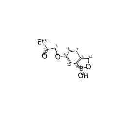 CCC(=O)COc1ccc2c(c1)B(O)OC2